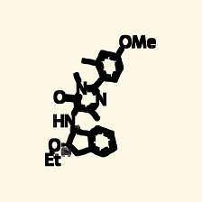 CCO[C@H]1Cc2ccccc2[C@H]1Nc1c(C)nc(-c2ccc(OC)cc2C)n(C)c1=O